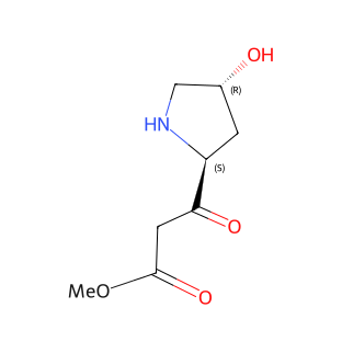 COC(=O)CC(=O)[C@@H]1C[C@@H](O)CN1